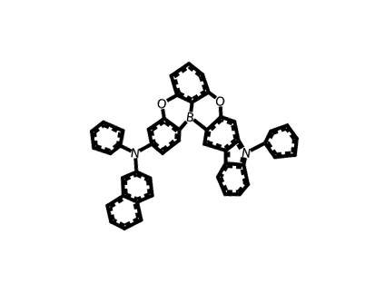 c1ccc(N(c2ccc3c(c2)Oc2cccc4c2B3c2cc3c5ccccc5n(-c5ccccc5)c3cc2O4)c2ccc3ccccc3c2)cc1